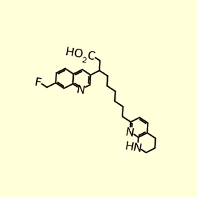 O=C(O)CC(CCCCCCc1ccc2c(n1)NCCC2)c1cnc2cc(CF)ccc2c1